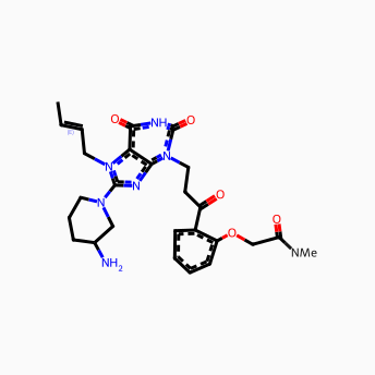 C/C=C/Cn1c(N2CCCC(N)C2)nc2c1c(=O)[nH]c(=O)n2CCC(=O)c1ccccc1OCC(=O)NC